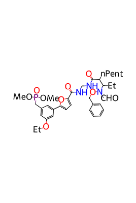 CCCCCC(C(=O)NCNC(=O)c1ccc(-c2cc(CP(=O)(OC)OC)cc(OCC)c2)o1)C(CC)N(C=O)OCc1ccccc1